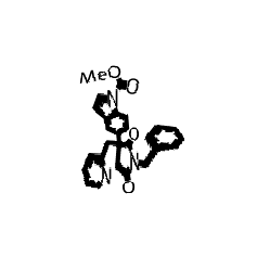 COC(=O)n1ccc2cc(C3(Cc4ccccn4)CC(=O)N(Cc4ccccc4)C3=O)ccc21